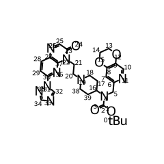 CC(C)(C)OC(=O)N(Cc1cc2c(cn1)OCCO2)C1CCN(CCn2c(=O)cnc3ccc(-n4cncn4)nc32)CC1